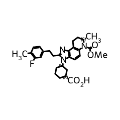 COC(=O)N1c2ccc3c(nc(CCc4ccc(C)c(F)c4)n3[C@@H]3CCC[C@@H](C(=O)O)C3)c2CC[C@@H]1C